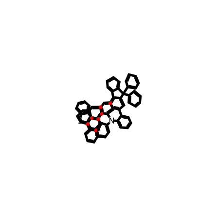 c1ccc(-c2cccc3cccc(-c4ccccc4N(c4ccccc4-c4ccc5c(c4)C(c4ccccc4)(c4ccccc4)c4ccccc4-5)c4ccccc4-c4cccc5sc6ccccc6c45)c23)cc1